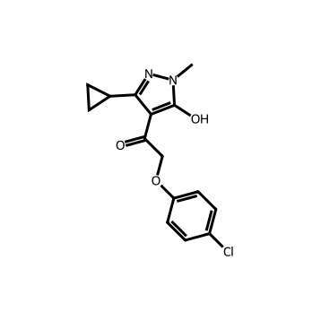 Cn1nc(C2CC2)c(C(=O)COc2ccc(Cl)cc2)c1O